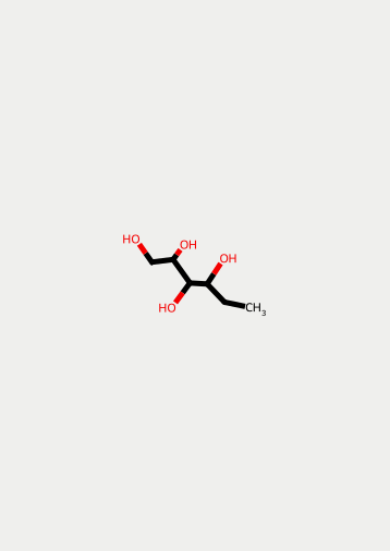 CCC(O)C(O)C(O)[CH]O